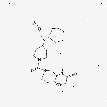 COCC(C1CCCCC1)N1CCN(C(=O)N2CCC3OCC(=O)NC3C2)CC1